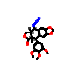 COc1cc([C@@H]2c3cc4c(cc3[C@@H](N=[N+]=[N-])[C@H]3COC(=O)[C@H]23)OCO4)cc(OC)c1OC